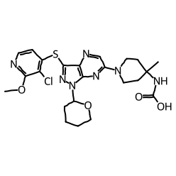 COc1nccc(Sc2nn(C3CCCCO3)c3nc(N4CCC(C)(NC(=O)O)CC4)cnc23)c1Cl